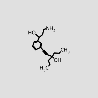 CCCC(O)(C#Cc1cccc(C(O)CCN)c1)CCC